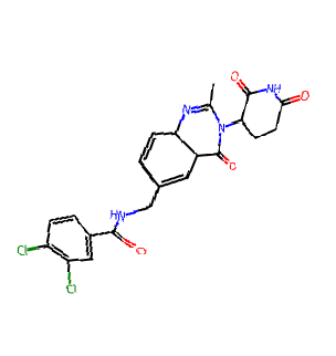 CC1=NC2C=CC(CNC(=O)c3ccc(Cl)c(Cl)c3)=CC2C(=O)N1C1CCC(=O)NC1=O